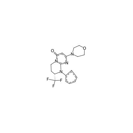 O=c1cc(N2CCOCC2)nc2n1CC[C@@H](C(F)(F)F)N2c1ccccc1